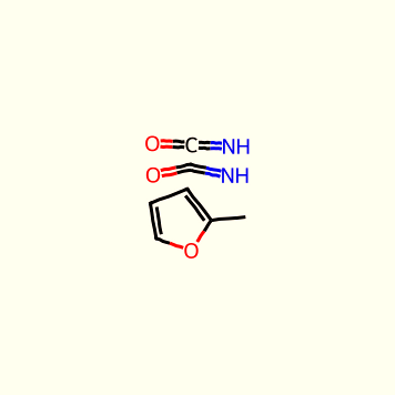 Cc1ccco1.N=C=O.N=C=O